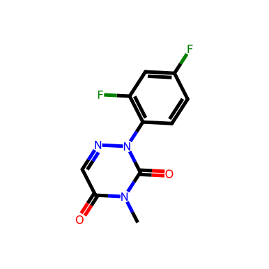 Cn1c(=O)cnn(-c2ccc(F)cc2F)c1=O